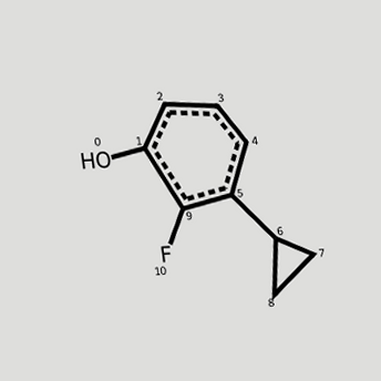 Oc1cccc(C2CC2)c1F